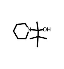 CC(C)(C)C(C)(O)N1CCCCC1